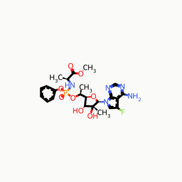 COC(=O)[C@H](C)NP(=O)(Oc1ccccc1)O[C@@H](C)[C@H]1O[C@@H](n2cc(F)c3c(N)ncnc32)[C@](C)(O)[C@@H]1O